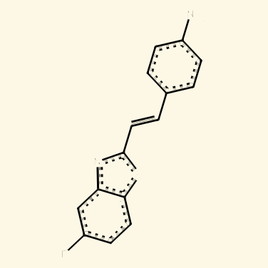 Nc1ccc(C=Cc2nc3cc(F)ccc3o2)cc1